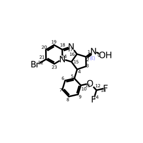 O/N=C1\CC(c2ccccc2OC(F)F)C2C1N=C1C=CC(Br)=CN12